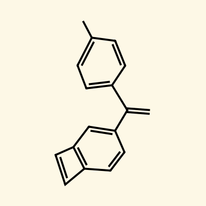 C=C(c1ccc(C)cc1)c1ccc2c(c1)C=C2